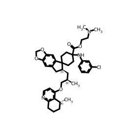 C[C@@H](COc1ccnc2c1[C@H](C)CCC2)C[C@H]1Cc2cc3c(cc2C12CCC(Nc1cccc(Cl)c1)(C(=O)OCCN(C)C)CC2)OCO3